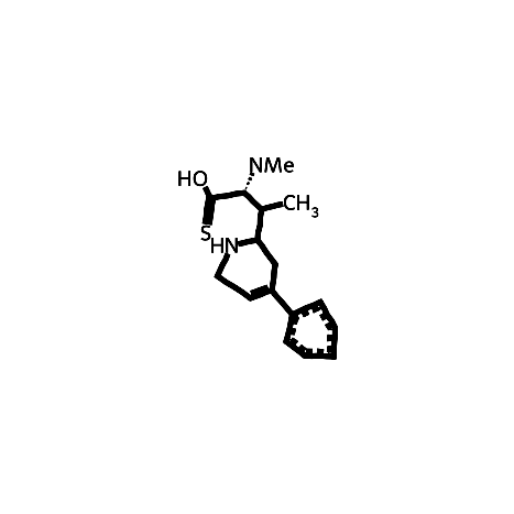 CN[C@@H](C(O)=S)C(C)C1CC(c2ccccc2)=CCN1